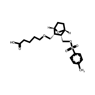 Cc1ccc(S(=O)(=O)OC[C@@H]2[C@H](COCCCCC(=O)O)[C@@H]3CC[C@H]2O3)cc1